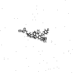 CCS(=O)(=O)Nc1ccc(-c2n[nH]c3c(-c4cnn(CCC(=O)OC(C)(C)C)c4)cnc(N)c23)cc1OCc1ccc(F)cc1